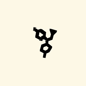 CC1CCC(N(CC2CC2)c2ccc(F)cn2)CC1